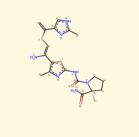 C=C(S/C=C(\N)c1sc(NC(=O)N2CCC[C@@]2(C)C(N)=O)nc1C)c1c[nH]c(C)n1